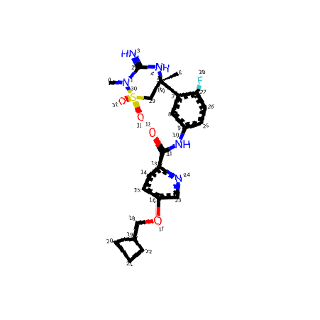 CN1C(=N)N[C@](C)(c2cc(NC(=O)c3ccc(OCC4CCC4)cn3)ccc2F)CS1(=O)=O